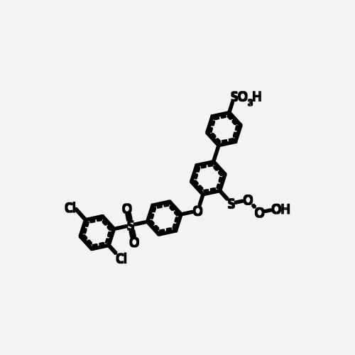 O=S(=O)(O)c1ccc(-c2ccc(Oc3ccc(S(=O)(=O)c4cc(Cl)ccc4Cl)cc3)c(SOOO)c2)cc1